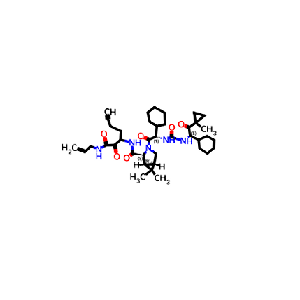 C#CCCC(NC(=O)[C@@H]1[C@@H]2[C@H](CN1C(=O)[C@@H](NC(=O)N[C@H](C(=O)C1(C)CC1)C1CCCCC1)C1CCCCC1)C2(C)C)C(=O)C(=O)NCC=C